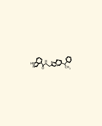 CC(c1ccccc1)c1ccc2nc(CNC(=O)c3cccc4[nH]ncc34)cn2c1